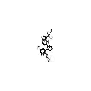 CCOC(=O)c1cnn2ccc(N3CCCC3c3cc(F)cnc3CCNC)nc12